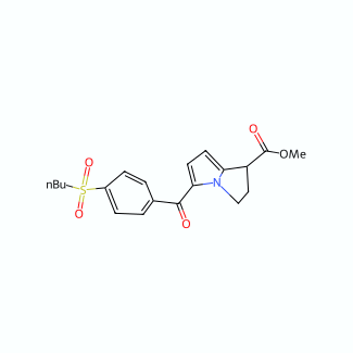 CCCCS(=O)(=O)c1ccc(C(=O)c2ccc3n2CCC3C(=O)OC)cc1